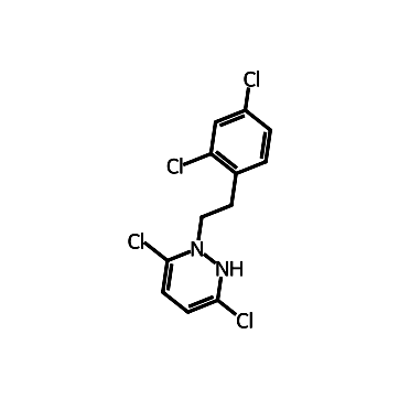 ClC1=CC=C(Cl)N(CCc2ccc(Cl)cc2Cl)N1